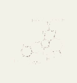 COc1c(C)cnc(Cn2nc3c4c(nc(N(C(=O)O)C(=O)O)nc42)SCC(=O)C3(C)C)c1C